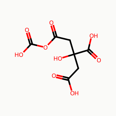 O=C(O)CC(O)(CC(=O)OC(=O)O)C(=O)O